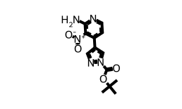 CC(C)(C)OC(=O)n1cc(-c2ccnc(N)c2[N+](=O)[O-])cn1